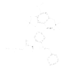 CCOC(=O)CNC(=O)c1ccc(C2=NC(C)(C)Cc3cc(OCC)c4c(c32)CC(C)(C)O4)cc1NCc1ccccc1